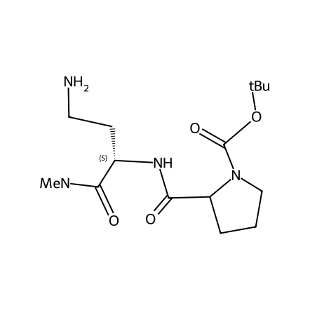 CNC(=O)[C@H](CCN)NC(=O)C1CCCN1C(=O)OC(C)(C)C